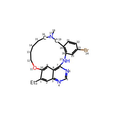 CCc1cc2ncnc3c2cc1OCCCCCN(C)Cc1ccc(Br)cc1N3